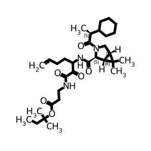 C=CCCC(NC(=O)[C@@H]1[C@@H]2[C@H](CN1C(=O)[C@@H](C)C1CCCCC1)C2(C)C)C(=O)C(=O)NCCC(=O)OC(C)(C)CC